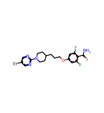 CCc1cnc(N2CCC(CCCOc3cc(F)c(C(N)=S)c(F)c3)CC2)nc1